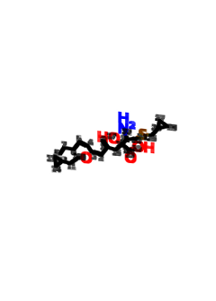 C=C(/C=C(\C=C/CCC)OCCC1CC1)CC(O)(C(=O)O)C(N)CSCC1CC1